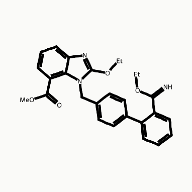 CCOC(=N)c1ccccc1-c1ccc(Cn2c(OCC)nc3cccc(C(=O)OC)c32)cc1